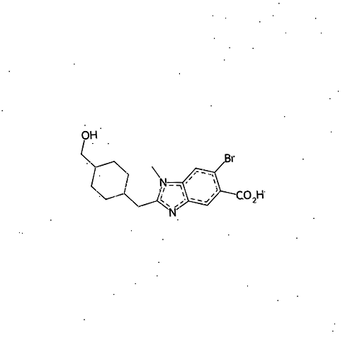 Cn1c(CC2CCC(CO)CC2)nc2cc(C(=O)O)c(Br)cc21